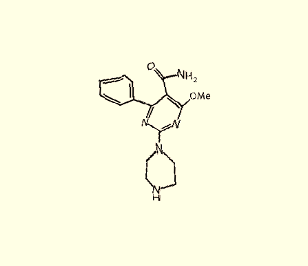 COc1nc(N2CCNCC2)nc(-c2ccccc2)c1C(N)=O